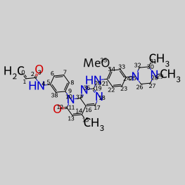 C=CC(=O)Nc1cccc(-n2c(=O)cc(C)c3cnc(Nc4ccc(N5CCN(C)C(C)C5)cc4OC)nc32)c1